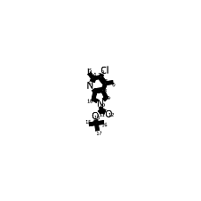 Cc1c(Cl)c(I)nc2c1CN(C(=O)OC(C)(C)C)C2